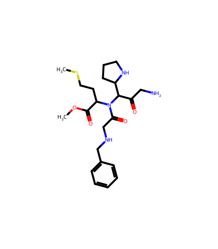 COC(=O)C(CCSC)N(C(=O)CNCc1ccccc1)C(C(=O)CN)C1CCCN1